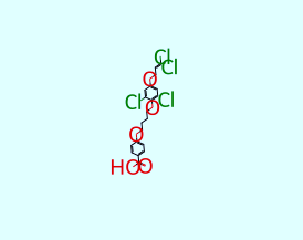 O=C(O)c1ccc(OCCCCOc2c(Cl)cc(OCC=C(Cl)Cl)cc2Cl)cc1